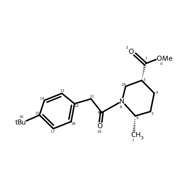 COC(=O)[C@@H]1CC[C@H](C)N(C(=O)Cc2ccc(C(C)(C)C)cc2)C1